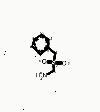 NCS(=O)(=O)Cc1ccccc1